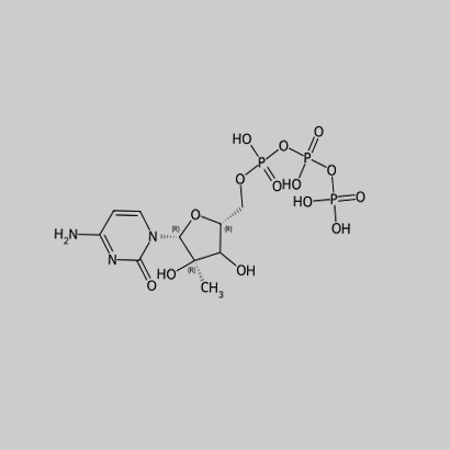 C[C@@]1(O)C(O)[C@@H](COP(=O)(O)OP(=O)(O)OP(=O)(O)O)O[C@H]1n1ccc(N)nc1=O